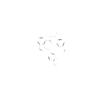 C[C@H](NC(=O)c1cccc2ccn(Cc3ccc(C(F)(F)F)nc3)c12)c1ccc(C=O)cc1